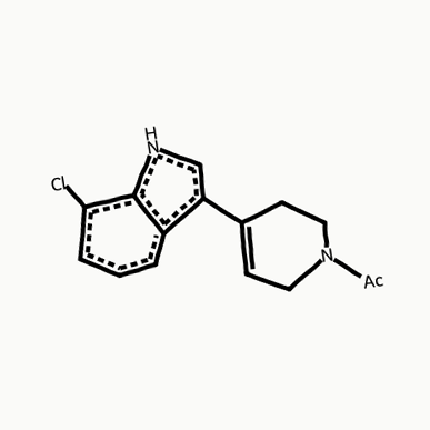 CC(=O)N1CC=C(c2c[nH]c3c(Cl)cccc23)CC1